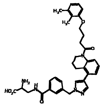 Cc1cccc(OCCCC(=O)N2CCCc3c(-c4cnn(Cc5cccc(C(=O)NCC(N)C(=O)O)c5)c4)cccc32)c1C